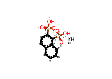 O=S(=O)(O)c1ccc2ccccc2c1S(=O)(=O)O.[KH]